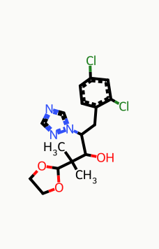 CC(C)(C1OCCO1)C(O)C(Cc1ccc(Cl)cc1Cl)n1cncn1